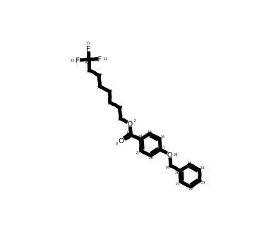 O=C(OCCCCCCCC(F)(F)F)c1ccc(OCc2ccccc2)cc1